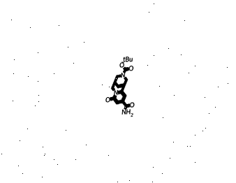 CC(C)(C)OC(=O)N1CC2=CC(C1)Cn1c2cc(C(N)=O)cc1=O